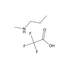 CCCNC.O=C(O)C(F)(F)F